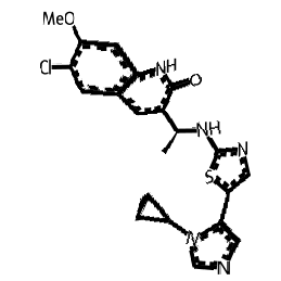 COc1cc2[nH]c(=O)c([C@H](C)Nc3ncc(-c4cncn4C4CC4)s3)cc2cc1Cl